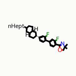 CCCCCCCC1CC[C@@H]2C[C@H](c3ccc(-c4ccc(C5=NC(C)(C)CO5)c(F)c4)c(F)c3)CC[C@@H]2C1